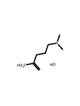 C=C(CCCN(C)C)C(=O)O.Cl